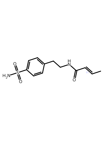 C/C=C/C(=O)NCCc1ccc(S(N)(=O)=O)cc1